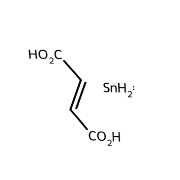 O=C(O)C=CC(=O)O.[SnH2]